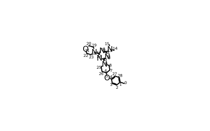 Cc1ccc(OC2CCN(c3nc(N(C)C)nc(N4CCOCC4)n3)CC2)cc1